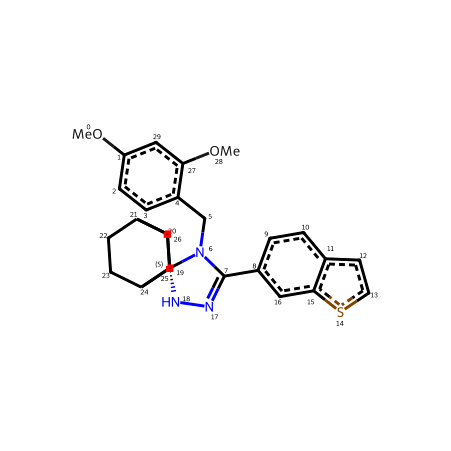 COc1ccc(CN2C(c3ccc4ccsc4c3)=NN[C@]23CC2CCC3CC2)c(OC)c1